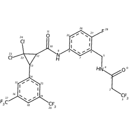 O=C(CC(F)(F)F)NCc1cc(NC(=O)C2C(c3cc(C(F)(F)F)cc(C(F)(F)F)c3)C2(Cl)Cl)ccc1F